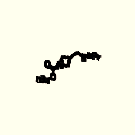 CCCCOC(=O)N1CC(CSCCC)C1